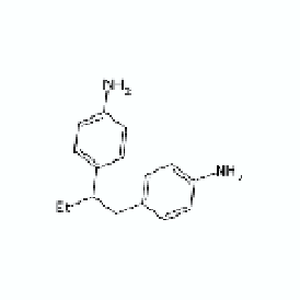 CCC(Cc1ccc(N)cc1)c1ccc(N)cc1